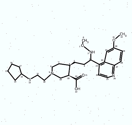 CONC(CC[C@@H]1CCN(CCSC2CCCC2)C[C@@H]1C(=O)O)c1ccnc2ccc(OC)cc12